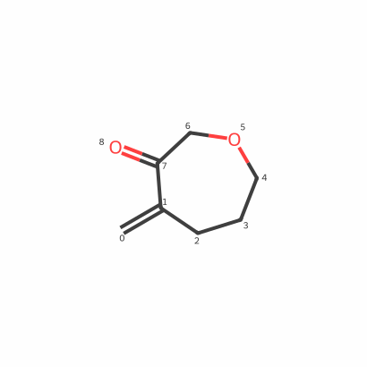 C=C1CCCOCC1=O